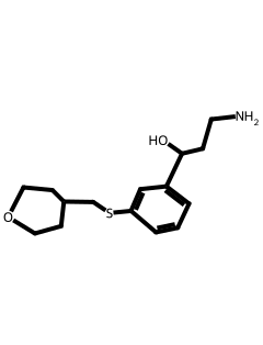 NCCC(O)c1cccc(SCC2CCOCC2)c1